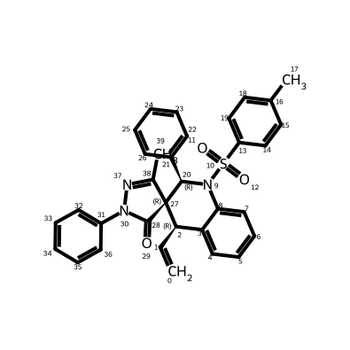 C=C[C@@H]1c2ccccc2N(S(=O)(=O)c2ccc(C)cc2)[C@H](c2ccccc2)[C@]12C(=O)N(c1ccccc1)N=C2C